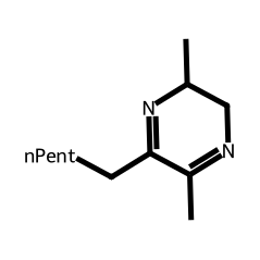 CCCCCCC1=NC(C)CN=C1C